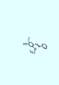 COc1cc(O)c(C=O)cc1N=Nc1ccccc1